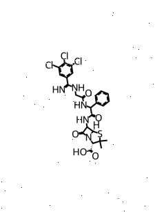 CC1(C)S[C@@H]2C(NC(=O)C(NC(=O)CNC(=N)c3cc(Cl)c(Cl)c(Cl)c3)c3ccccc3)C(=O)N2[C@H]1C(=O)O